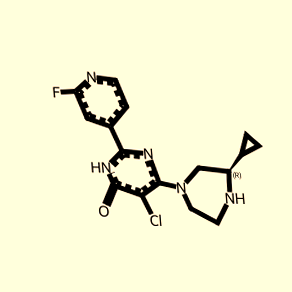 O=c1[nH]c(-c2ccnc(F)c2)nc(N2CCN[C@H](C3CC3)C2)c1Cl